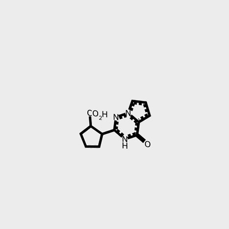 O=C(O)C1CCCC1c1nn2cccc2c(=O)[nH]1